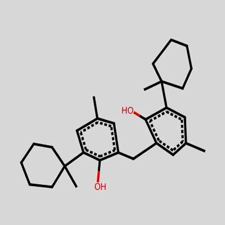 Cc1cc(Cc2cc(C)cc(C3(C)CCCCC3)c2O)c(O)c(C2(C)CCCCC2)c1